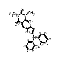 CN1C(=O)C(=Cc2ccc(N3c4ccccc4Oc4ccccc43)[se]2)C(=O)N(C)C1=S